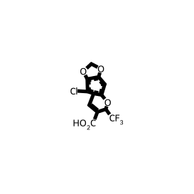 O=C(O)C1=Cc2c(cc3c(c2Cl)OCO3)OC1C(F)(F)F